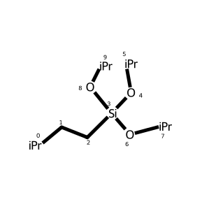 CC(C)CC[Si](OC(C)C)(OC(C)C)OC(C)C